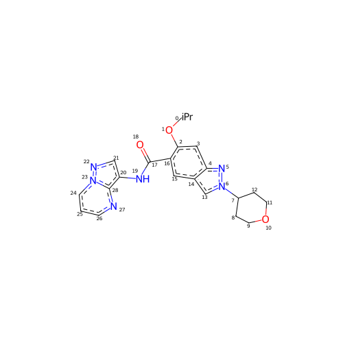 CC(C)Oc1cc2nn(C3CCOCC3)cc2cc1C(=O)Nc1cnn2cccnc12